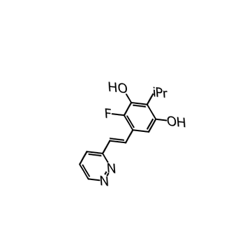 CC(C)c1c(O)cc(C=Cc2cccnn2)c(F)c1O